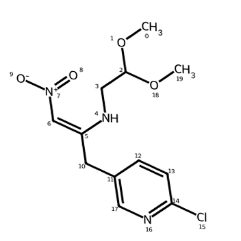 COC(CN/C(=C\[N+](=O)[O-])Cc1ccc(Cl)nc1)OC